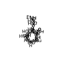 CCNCC(=O)NC(C)C(=O)Nc1ccc(CNC(=O)CC2NC(=O)[C@H](C[S+]([O-])c3[nH]c4ccccc4c3C)NC(=O)CNC(=O)C(C(C)CC)NC(=O)CNC(=O)CNC(=O)C([C@@H](C)C(O)CO)NC(=O)C3C[C@@H](O)CN3C2=O)cc1